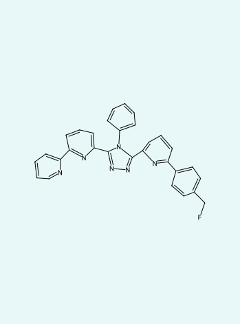 FCc1ccc(-c2cccc(-c3nnc(-c4cccc(-c5ccccn5)n4)n3-c3ccccc3)n2)cc1